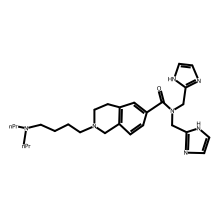 CCCN(CCC)CCCCN1CCc2cc(C(=O)N(Cc3ncc[nH]3)Cc3ncc[nH]3)ccc2C1